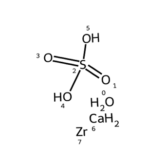 O.O=S(=O)(O)O.[CaH2].[Zr]